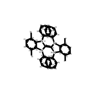 Cc1ccc(C)c2c1N(c1ccccc1)C(=C1N(c3ccccc3)c3c(C)ccc(C)c3N1c1ccccc1)N2c1ccccc1